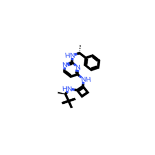 C[C@@H](Nc1nccc(NC2=C(N[C@H](C)C(C)(C)C)CC2)n1)c1ccccc1